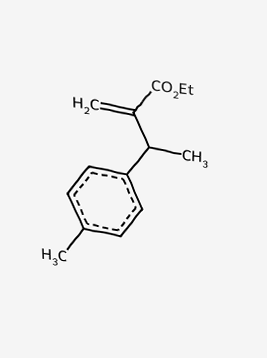 C=C(C(=O)OCC)C(C)c1ccc(C)cc1